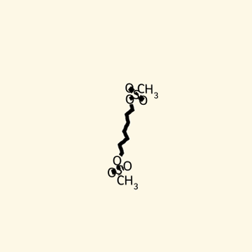 CS(=O)(=O)OCCCCCCCOS(C)(=O)=O